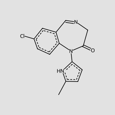 Cc1ccc(N2C(=O)CN=Cc3cc(Cl)ccc32)[nH]1